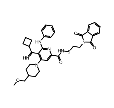 COCC1CCN(c2cc(C(=O)NSCCN3C(=O)c4ccccc4C3=O)nc(Nc3ccccc3)c2C(=N)C2CCC2)CC1